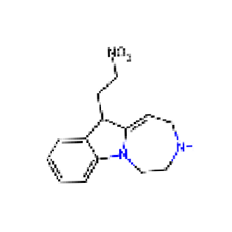 O=[N+]([O-])CCC1C2=CCNCCN2c2ccccc21